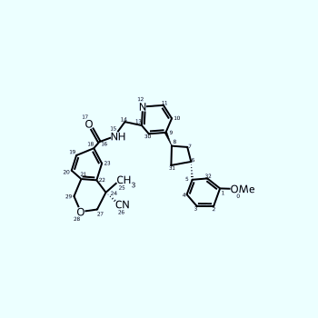 COc1cccc([C@H]2C[C@H](c3ccnc(CNC(=O)c4ccc5c(c4)[C@](C)(C#N)COC5)c3)C2)c1